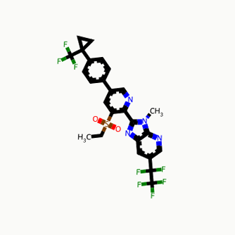 CCS(=O)(=O)c1cc(-c2ccc(C3(C(F)(F)F)CC3)cc2)cnc1-c1nc2cc(C(F)(F)C(F)(F)F)cnc2n1C